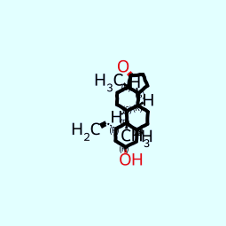 C=C[C@H]1C[C@H](O)C[C@@H]2CC[C@@H]3[C@H](CC[C@]4(C)C(=O)CC[C@@H]34)[C@]21C